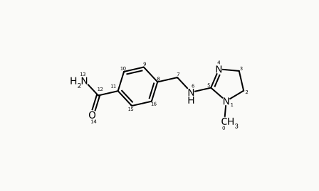 CN1CCN=C1NCc1ccc(C(N)=O)cc1